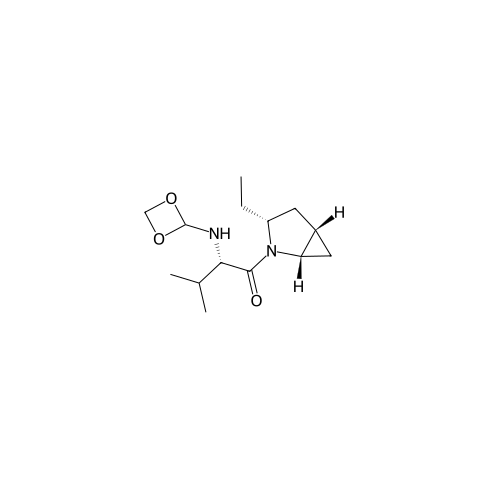 CC[C@@H]1C[C@@H]2C[C@@H]2N1C(=O)[C@@H](NC1OCO1)C(C)C